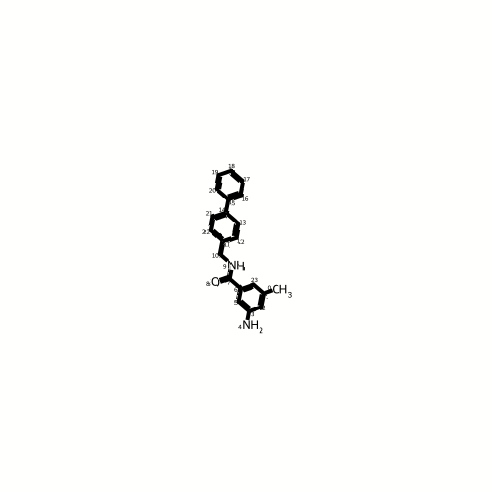 Cc1cc(N)cc(C(=O)NCc2ccc(-c3ccccc3)cc2)c1